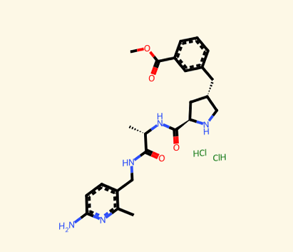 COC(=O)c1cccc(C[C@@H]2CN[C@@H](C(=O)N[C@@H](C)C(=O)NCc3ccc(N)nc3C)C2)c1.Cl.Cl